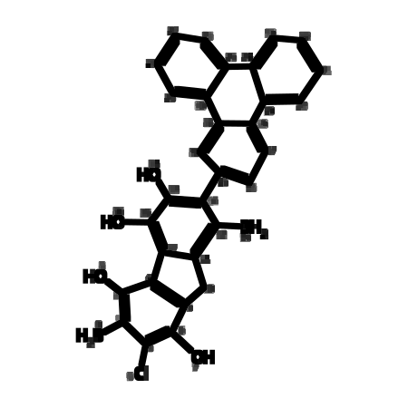 Bc1c(O)c2c(c(O)c1Cl)Cc1c(B)c(-c3ccc4c5ccccc5c5ccccc5c4c3)c(O)c(O)c1-2